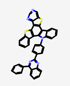 c1ccc(-c2nc(-c3ccc(-n4c5ccccc5c5c6sc7cncnc7c6c6sc7ccccc7c6c54)cc3)nc3ccccc23)cc1